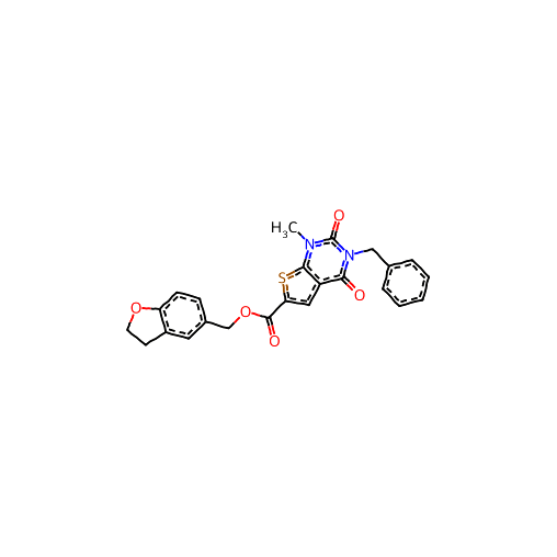 Cn1c(=O)n(Cc2ccccc2)c(=O)c2cc(C(=O)OCc3ccc4c(c3)CCO4)sc21